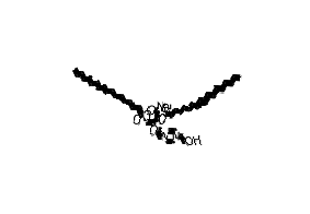 CCCCCCCCC=CCCCCCCCC(=O)OCC(OCCN1CCN(CCO)CC1)C(OC(=O)CCCCCCCC=CCCCCCCCC)C(N)=O